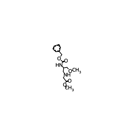 COCC(CNCC(=O)OC)NC(=O)OCc1ccccc1